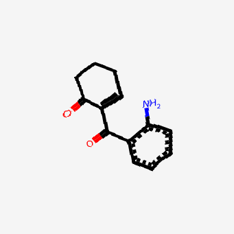 Nc1ccccc1C(=O)C1=CCCCC1=O